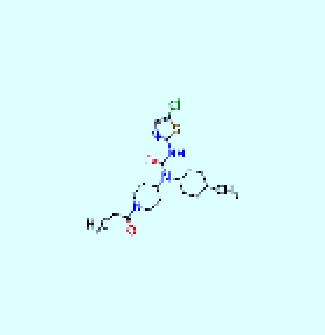 CCC(=O)N1CCC(N(C(=O)Nc2ncc(Cl)s2)C2CCC(C)CC2)CC1